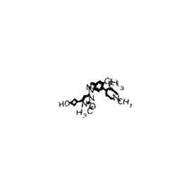 COc1nc(C2CC(O)C2)cc(-n2ncc3cc(C)c(C4CCN(C)CC4F)cc32)n1